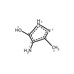 Cc1n[nH]c(O)c1N